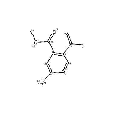 C=C(C)c1ccc(N)cc1C(=O)OC